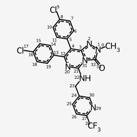 Cn1nc2c(-c3ccc(Cl)cc3)c(-c3ccc(Cl)cc3)nc(NCc3ccc(C(F)(F)F)nc3)n2c1=O